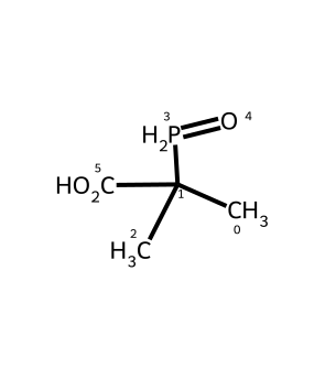 CC(C)([PH2]=O)C(=O)O